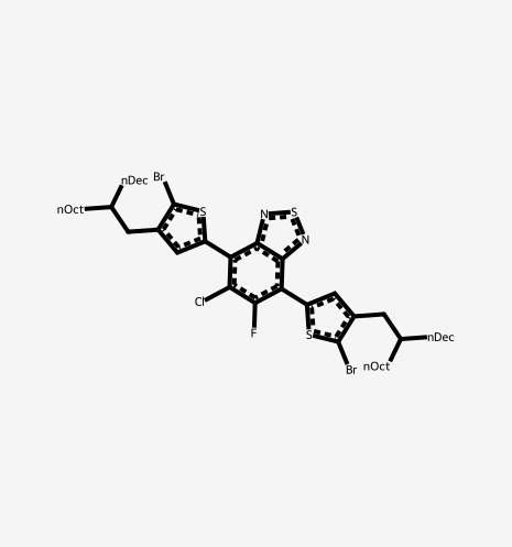 CCCCCCCCCCC(CCCCCCCC)Cc1cc(-c2c(F)c(Cl)c(-c3cc(CC(CCCCCCCC)CCCCCCCCCC)c(Br)s3)c3nsnc23)sc1Br